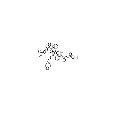 C=CC(=O)OCC(C)(C)C(=O)C(=O)N1CCCCC1C(=O)O[C@H](CCCN1CCOCC1)c1cccc(NC(=O)CCC(=O)O)c1